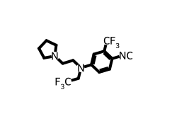 [C-]#[N+]c1ccc(N(CCN2CCCC2)CC(F)(F)F)cc1C(F)(F)F